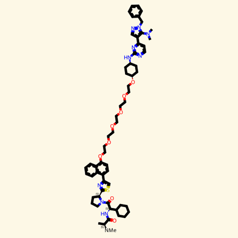 CN[C@@H](C)C(=O)N[C@H](C(=O)N1CCC[C@H]1c1nc(-c2ccc(OCCOCCOCCOCCOCCO[C@H]3CC[C@H](Nc4nccc(-c5cnn(Cc6ccccc6)c5N(C)C)n4)CC3)c3ccccc23)cs1)C1CCCCC1